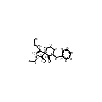 CCOC(=O)C1(C(=O)OCC)OCCN(Cc2ccccc2)C1=O